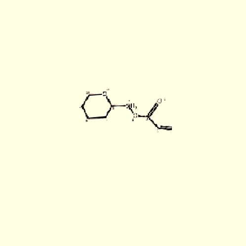 C=CC(=O)O[SiH2]C1CCCCO1